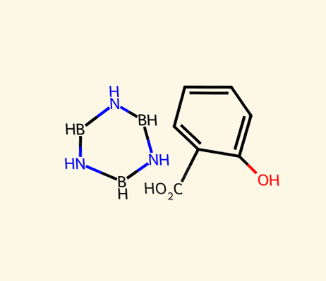 B1NBNBN1.O=C(O)c1ccccc1O